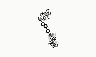 CC[C@@H](C)[C@H](NC(=O)OC)C(=O)N1CCC[C@H]1c1ncc(-c2ccc(-c3ccc4cc(-c5cnc([C@@H]6CCCN6C(=O)[C@@H](NC(=O)OC)[C@H](C)CC)[nH]5)ccc4c3)cc2)[nH]1